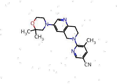 Cc1cc(C#N)cnc1N1CCc2ncc(N3CCOC(C)(C)C3)cc2C1